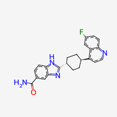 NC(=O)c1ccc2[nH]c([C@H]3CC[C@H](c4ccnc5ccc(F)cc54)CC3)nc2c1